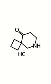 Cl.O=C1CCNCC12CCC2